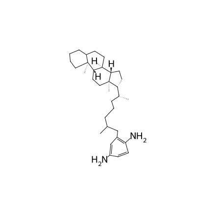 CC(CCC[C@@H](C)[C@H]1CC[C@H]2[C@@H]3CCC4CCCC[C@]4(C)[C@H]3CC[C@]12C)Cc1cc(N)ccc1N